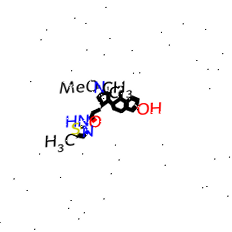 CO/N=C1\C[C@@H](CCC(=O)Nc2ncc(C)s2)C2C3CCc4cc(O)ccc4C3CC[C@]12C